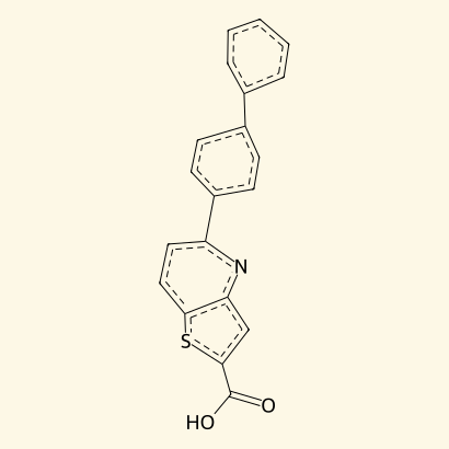 O=C(O)c1cc2nc(-c3ccc(-c4ccccc4)cc3)ccc2s1